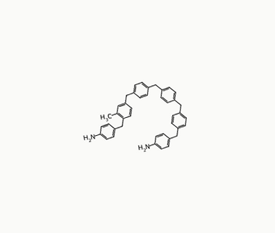 Cc1cc(Cc2ccc(Cc3ccc(Cc4ccc(Cc5ccc(N)cc5)cc4)cc3)cc2)ccc1Cc1ccc(N)cc1